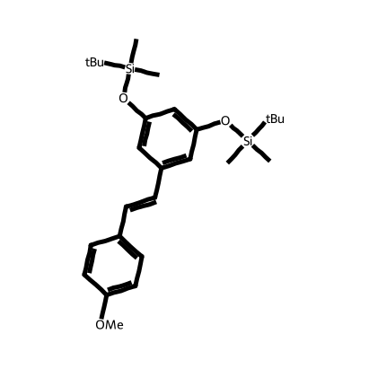 COc1ccc(/C=C/c2cc(O[Si](C)(C)C(C)(C)C)cc(O[Si](C)(C)C(C)(C)C)c2)cc1